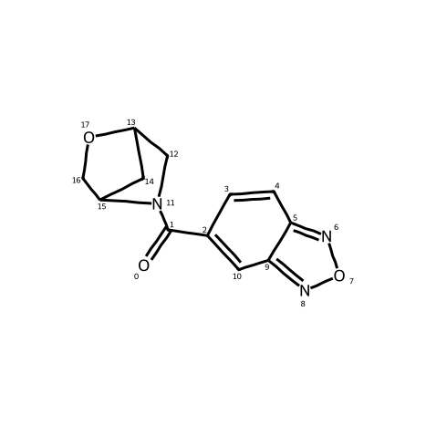 O=C(c1ccc2nonc2c1)N1CC2CC1CO2